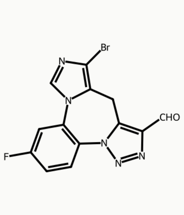 O=Cc1nnn2c1Cc1c(Br)ncn1-c1cc(F)ccc1-2